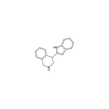 c1ccc2c(c1)CNCC2c1cc2ccccc2[nH]1